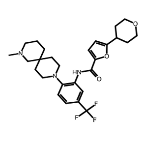 CN1CCCC2(CCN(c3ccc(C(F)(F)F)cc3NC(=O)c3ccc(C4CCOCC4)o3)CC2)C1